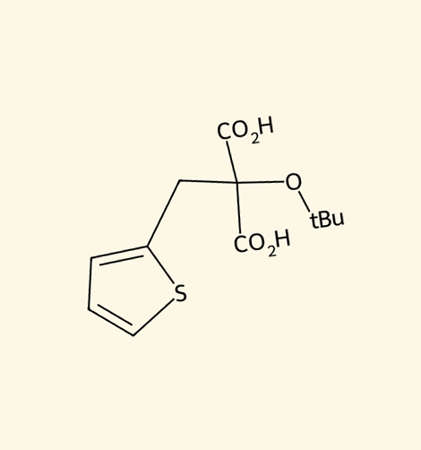 CC(C)(C)OC(Cc1cccs1)(C(=O)O)C(=O)O